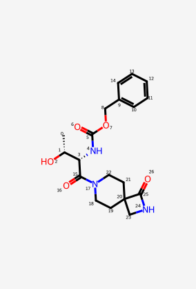 C[C@@H](O)[C@H](NC(=O)OCc1ccccc1)C(=O)N1CCC2(CC1)CNC2=O